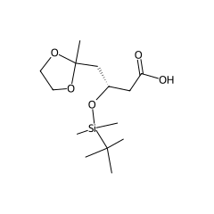 CC1(C[C@H](CC(=O)O)O[Si](C)(C)C(C)(C)C)OCCO1